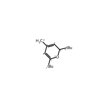 CC1=CC(C(C)(C)C)OC(C(C)(C)C)=C1